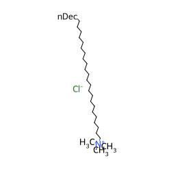 CCCCCCCCCCCCCCCCCCCCCCCCCCCCCCCCC[N+](C)(C)C.[Cl-]